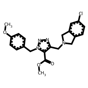 COC(=O)c1c(CN2Cc3ccc(Cl)cc3C2)nnn1Cc1ccc(OC)cc1